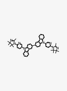 CC1=NC(C)(C)C(C)(C)N1c1ccc(-n2c3ccccc3c3cc(-c4ccc5c(c4)c4ccccc4n5-c4ccc(N5C(C)=NC(C)(C)C5(C)C)nc4)ccc32)cn1